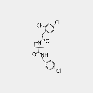 CC1(C(=O)NCc2ccc(Cl)cc2)CCN1C(=O)Cc1ccc(Cl)cc1Cl